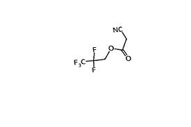 N#CCC(=O)OCC(F)(F)C(F)(F)F